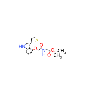 CC(C)OC(=O)CNC(=O)COc1cccc2[nH]cc(C3CCSC3)c12